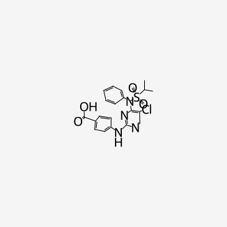 CC(C)S(=O)(=O)N(c1ccccc1)c1nc(Nc2ccc(C(=O)O)cc2)ncc1Cl